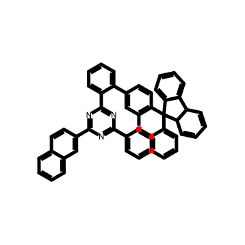 C1=CC2c3ccccc3C3(c4ccccc4Oc4cc(-c5ccccc5-c5nc(-c6ccccc6)nc(-c6ccc7ccccc7c6)n5)ccc43)C2C=C1